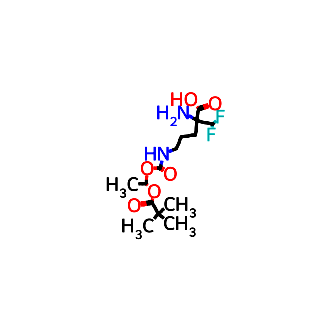 CC(OC(=O)NCCCC(N)(C(=O)O)C(F)F)OC(=O)C(C)(C)C